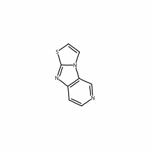 c1cc2nc3sccn3c2cn1